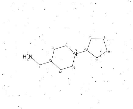 NCC1CCN(C2CCCC2)CC1